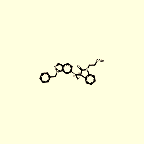 COCCN1C(=O)[C@@]2(C[C@H]2c2ccc3cnn(Cc4ccccc4)c3c2)c2ccccc21